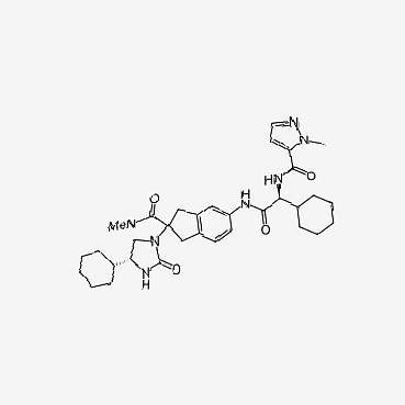 CNC(=O)C1(N2C[C@@H](C3CCCCC3)NC2=O)Cc2ccc(NC(=O)[C@@H](NC(=O)c3ccnn3C)C3CCCCC3)cc2C1